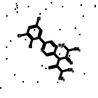 CC(C)C(=O)N(C(=O)C(C)C)c1cnc(-c2cc(Cl)cc(Cl)c2Cl)cn1